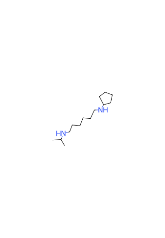 CC(C)NCCCCCCNC1CCCC1